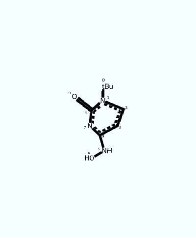 CC(C)(C)n1ccc(NO)nc1=O